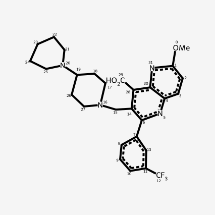 COc1ccc2nc(-c3cccc(C(F)(F)F)c3)c(CN3CCC(N4CCCCC4)CC3)c(C(=O)O)c2n1